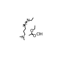 CCN=C=NCCCN(C)C.CCOC(C)=O.Cl